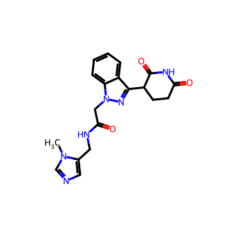 Cn1cncc1CNC(=O)Cn1nc(C2CCC(=O)NC2=O)c2ccccc21